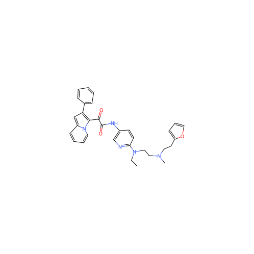 CCN(CCN(C)CCc1ccco1)c1ccc(NC(=O)C(=O)c2c(-c3ccccc3)cc3ccccn23)cn1